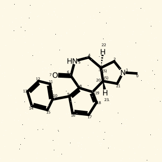 CN1C[C@@H]2CNC(=O)c3c(-c4ccccc4)cccc3[C@H]2C1